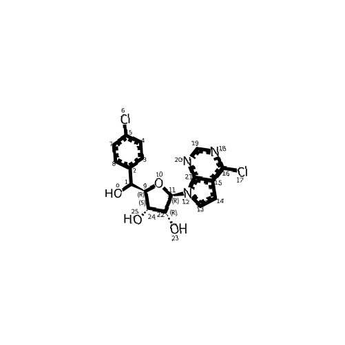 OC(c1ccc(Cl)cc1)[C@H]1O[C@@H](n2ccc3c(Cl)ncnc32)[C@H](O)[C@@H]1O